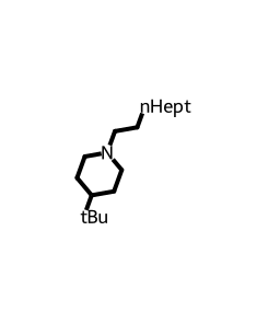 CCCCCCCCCN1CCC(C(C)(C)C)CC1